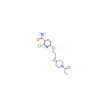 CCC(=O)N1CCC2(CC1)CC2CCOc1ccc(C(=O)N(C)C)c(Cl)n1